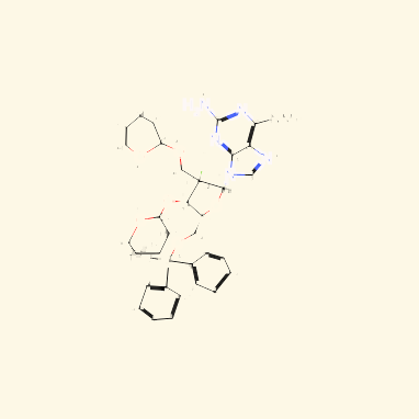 CNc1nc(N)nc2c1ncn2[C@@H]1O[C@@H](CO[Si](c2ccccc2)(c2ccccc2)C(C)(C)C)[C@@H](OC2CCCCO2)[C@]1(F)COC1CCCCO1